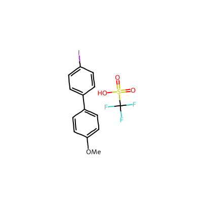 COc1ccc(-c2ccc(I)cc2)cc1.O=S(=O)(O)C(F)(F)F